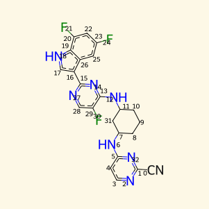 N#Cc1nccc(NC2CCCC(Nc3nc(-c4c[nH]c5c(F)cc(F)cc45)ncc3F)C2)n1